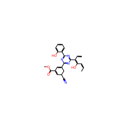 C=C/C(=C(O)\C=C/C)c1nc(C2=CC(C(=O)OC)=CC(C#N)C2)nc(-c2ccccc2O)n1